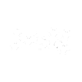 Cc1ccccc1N(c1ccccc1)c1ccc2c(c1)C(C)(C)c1cc3c(cc1-2)C(C)(C)c1cc(N(c2ccccc2)c2ccccc2C)c2ccccc2c1-3